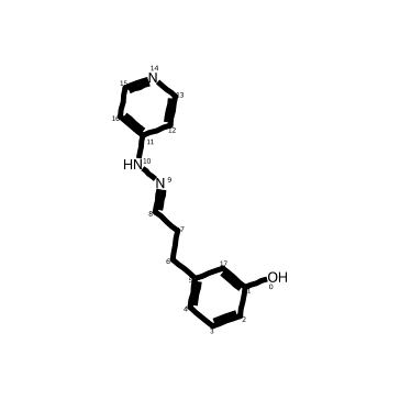 Oc1cccc(CCC=NNc2ccncc2)c1